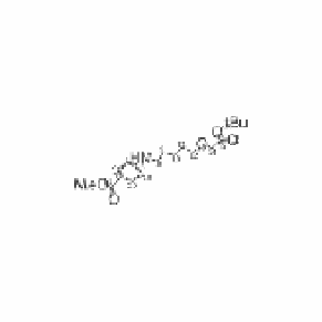 COC(=O)c1ccc(NCCCCCOCC(=O)OC(C)(C)C)cc1